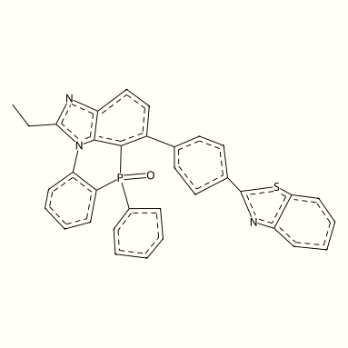 CCc1nc2ccc(-c3ccc(-c4nc5ccccc5s4)cc3)c3c2n1-c1ccccc1P3(=O)c1ccccc1